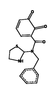 O=C1C=CC=C(C(=O)N(Cc2ccccc2)C2NCCS2)C1=O